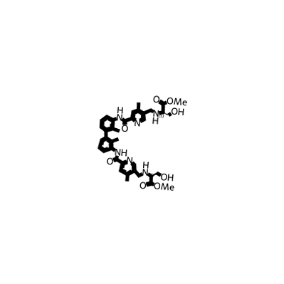 COC(=O)[C@H](CO)NCc1cnc(C(=O)Nc2cccc(-c3cccc(NC(=O)c4cc(C)c(CN[C@@H](CO)C(=O)OC)cn4)c3C)c2C)cc1C